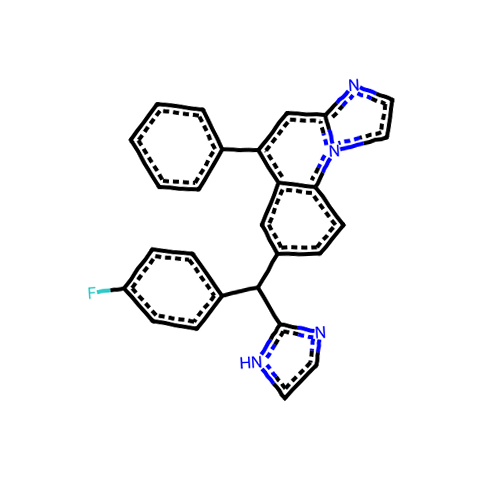 Fc1ccc(C(c2ccc3c(c2)c(-c2ccccc2)cc2nccn23)c2ncc[nH]2)cc1